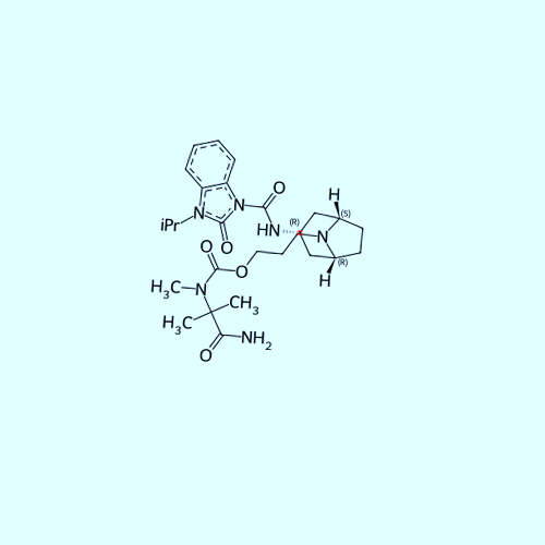 CC(C)n1c(=O)n(C(=O)N[C@H]2C[C@H]3CC[C@@H](C2)N3CCCOC(=O)N(C)C(C)(C)C(N)=O)c2ccccc21